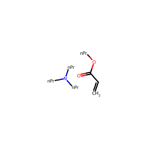 C=CC(=O)OCCC.CCCN(CCC)CCC